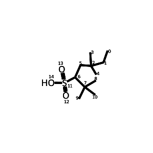 CCC(C)(C)CC(C(C)(C)C)S(=O)(=O)O